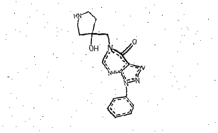 O=c1c2nnn(-c3ccccc3)c2ncn1CC1(O)CCNCC1